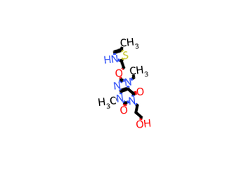 CCn1c(OCC2NC=C(C)S2)nc2c1c(=O)n(CCCO)c(=O)n2C